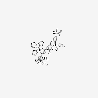 CC(=O)Nc1nc(=O)n(C2CN(C(c3ccccc3)(c3ccccc3)c3ccccc3)CC(COP(=O)(Cl)N(C)C)O2)cc1CCCNC(=O)C(F)(F)F